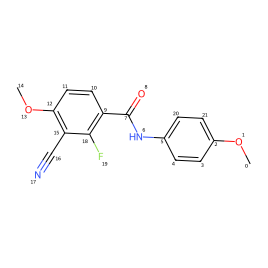 COc1ccc(NC(=O)c2ccc(OC)c(C#N)c2F)cc1